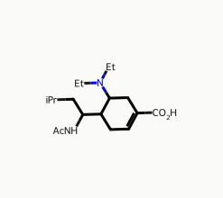 CCN(CC)C1CC(C(=O)O)=CCC1C(CC(C)C)NC(C)=O